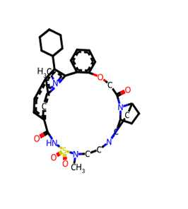 CN1CCN2CC3CCC(C2)N3C(=O)COc2ccccc2-c2c(C3CCCCC3)c3ccc(cc3n2C)C(=O)NS1(=O)=O